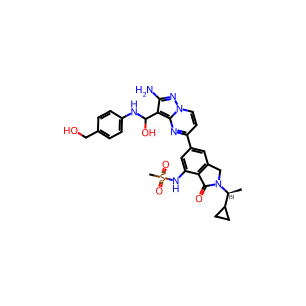 C[C@@H](C1CC1)N1Cc2cc(-c3ccn4nc(N)c(C(O)Nc5ccc(CO)cc5)c4n3)cc(NS(C)(=O)=O)c2C1=O